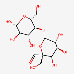 O=C[C@]1(CO)O[C@H](O[C@H]2[C@H](O)[C@@H](O)[C@H](O)O[C@@H]2CO)[C@H](O)[C@@H](O)[C@H]1O